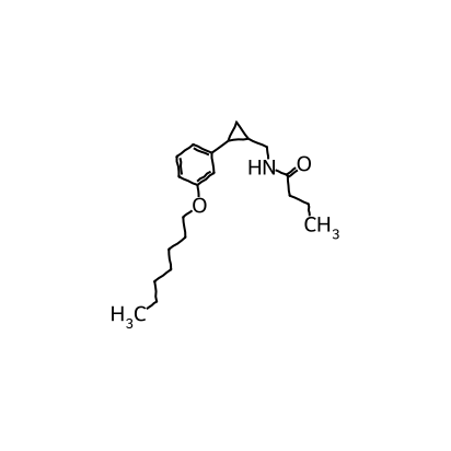 CCCCCCCOc1cccc(C2CC2CNC(=O)CCC)c1